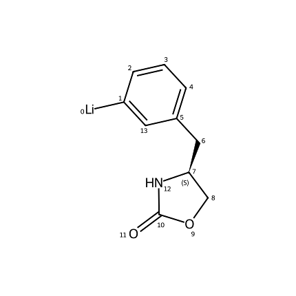 [Li][c]1cccc(C[C@H]2COC(=O)N2)c1